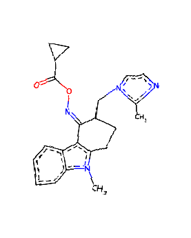 Cc1nccn1CC1CCc2c(c3ccccc3n2C)/C1=N/OC(=O)C1CC1